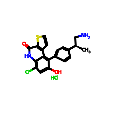 C[C@H](CN)c1ccc(-c2c(O)cc(Cl)c3[nH]c(=O)c4sccc4c23)cc1.Cl